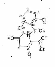 CCC(=O)C1C(=O)CC(=O)CN1C(=O)c1c(Cl)cccc1Cl